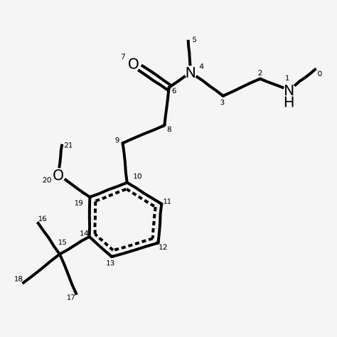 CNCCN(C)C(=O)CCc1cccc(C(C)(C)C)c1OC